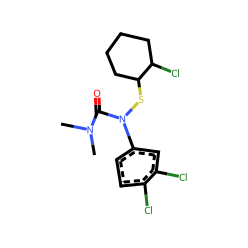 CN(C)C(=O)N(SC1CCCCC1Cl)c1ccc(Cl)c(Cl)c1